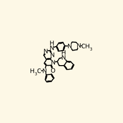 CN1CCN(c2ccc(Nc3ncc4cc(N(C)c5ccccc5)c(=O)n(C5CNc6ccccc6C5)c4n3)cc2)CC1